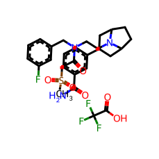 CS(=O)(=O)CC(=O)N(CCN1C2CCC1CC(c1cccc(C(N)=O)c1)C2)Cc1cccc(F)c1.O=C(O)C(F)(F)F